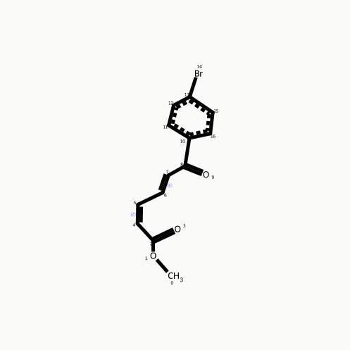 COC(=O)/C=C\C=C\C(=O)c1ccc(Br)cc1